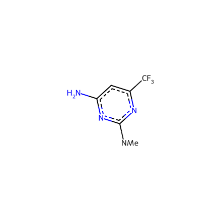 CNc1nc(N)cc(C(F)(F)F)n1